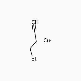 C#CCCCC.[Cu]